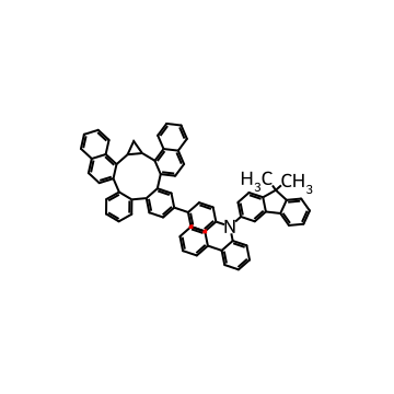 CC1(C)c2ccccc2-c2cc(N(c3ccc(-c4ccc5c(c4)-c4ccc6ccccc6c4C4CC4c4c(ccc6ccccc46)-c4ccccc4-5)cc3)c3ccccc3-c3ccccc3)ccc21